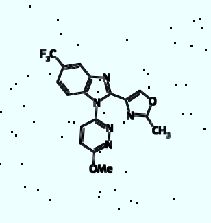 COc1ccc(-n2c(-c3coc(C)n3)nc3cc(C(F)(F)F)ccc32)nn1